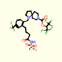 CS(=O)(=O)NC(=O)CCCc1cc(C(F)(F)F)ccc1CN1CCCC12CCN(C(=O)OC(C(F)(F)F)C(F)(F)F)CC2